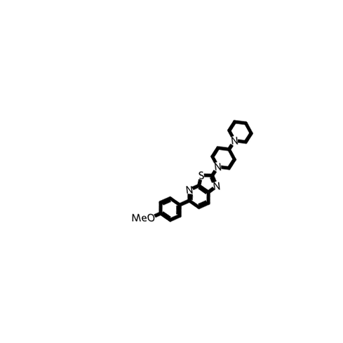 COc1ccc(-c2ccc3nc(N4CCC(N5CCCCC5)CC4)sc3n2)cc1